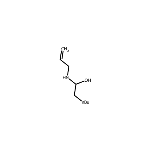 C=CCNC(O)CCCCC